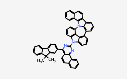 CC1(C)c2ccccc2-c2ccc(-c3nc(-n4c5cccc6c7cccc8c9ccc%10ccccc%10c9n(c9cccc4c9c65)c78)nc4c3ccc3ccccc34)cc21